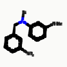 CCN(Cc1cccc([N+](=O)[O-])c1)c1cccc(NC(C)=O)c1